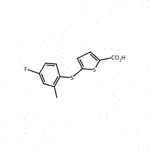 Cc1cc(F)ccc1Sc1ccc(C(=O)O)s1